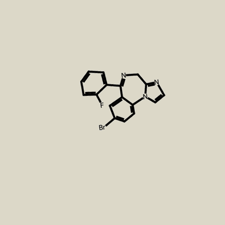 Fc1ccccc1C1=NCc2nccn2-c2ccc(Br)cc21